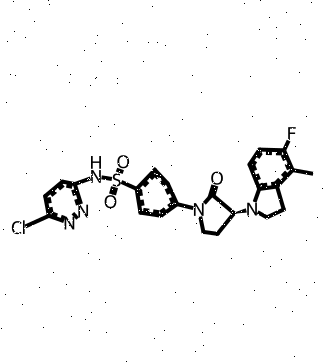 Cc1c(F)ccc2c1CCN2[C@H]1CCN(c2ccc(S(=O)(=O)Nc3ccc(Cl)nn3)cc2)C1=O